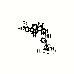 CC(C)(O)CCc1cccc2c(-c3nc(N[C@H]4CCCN(C(=O)OC(C)(C)C)C4)ncc3C(F)(F)F)c[nH]c12